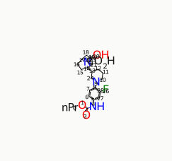 CCCOC(=O)Nc1ccc(N2CCCC(C34CCC(CC(O)C3)N4C(=O)O)C2)c(F)c1